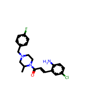 CC1CN(Cc2ccc(F)cc2)CCN1C(=O)C=Cc1cc(Cl)ccc1N